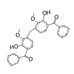 COc1c(Cc2ccc(C(=O)c3ccccc3)c(O)c2OC)ccc(C(=O)c2ccccc2)c1O